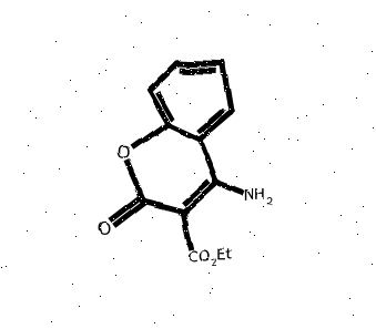 CCOC(=O)c1c(N)c2ccccc2oc1=O